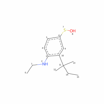 CCNc1ccc(SO)cc1C(C)(C)CC